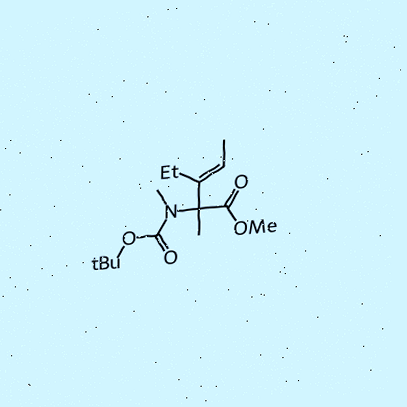 C/C=C(\CC)C(C)(C(=O)OC)N(C)C(=O)OC(C)(C)C